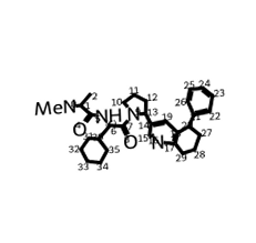 CNC(C)C(=O)N[C@H](C(=O)N1CCCC1c1cnc2c(c1)C(c1ccccc1)CCC2)C1CCCCC1